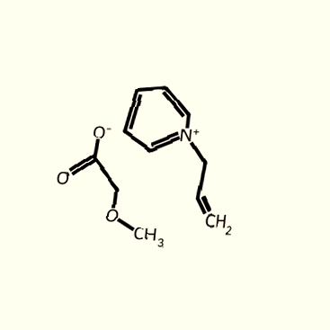 C=CC[n+]1ccccc1.COCC(=O)[O-]